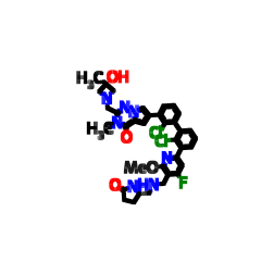 COc1nc(-c2cccc(-c3cccc(-c4cc5c(=O)n(C)c(CN6CC(C)(O)C6)nn5c4)c3Cl)c2Cl)cc(F)c1CNC[C@H]1CCC(=O)N1